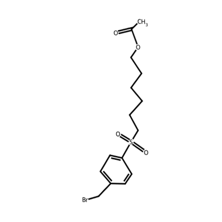 CC(=O)OCCCCCCS(=O)(=O)c1ccc(CBr)cc1